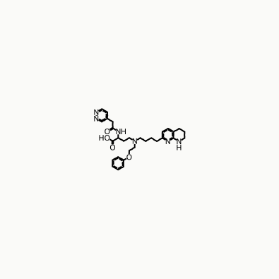 O=C(Cc1ccnnc1)NC(CCN(CCCCc1ccc2c(n1)NCCC2)CCOc1ccccc1)C(=O)O